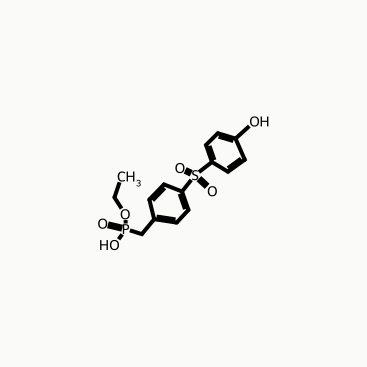 CCOP(=O)(O)Cc1ccc(S(=O)(=O)c2ccc(O)cc2)cc1